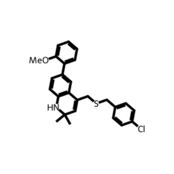 COc1ccccc1-c1ccc2c(c1)C(CSCc1ccc(Cl)cc1)=CC(C)(C)N2